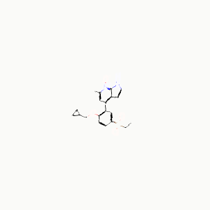 CCS(=O)(=O)c1ccc(OCC2CC2)c(-c2cc(C)[n+]([O-])c3[nH]ccc23)c1